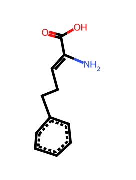 NC(=CCCc1ccccc1)C(=O)O